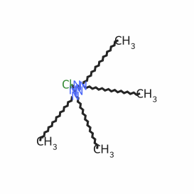 CCCCCCCCCCCCCCCCCCN(CCCCCCCCCCCCCCCCCC)c1nc(Cl)nc(N(CCCCCCCCCCCCCCCCCC)CCCCCCCCCCCCCCCCCC)n1